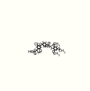 COc1cc(OC)c(CCNC(=O)c2ccc(Oc3cc4c(cc3Cl)C(OC(=O)O)CCO4)cc2)c(OC)c1